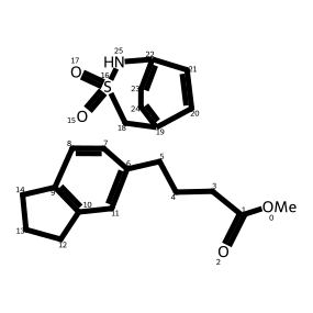 COC(=O)CCCc1ccc2c(c1)CCC2.O=S1(=O)Cc2ccc(cc2)N1